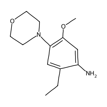 CCc1cc(N2CCOCC2)c(OC)cc1N